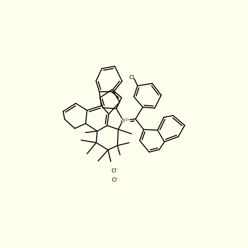 CC12C(=C3Cc4ccccc4C3=C3C=CCCC31)[C](C)([Zr+2](=[C](c1cccc(Cl)c1)c1cccc3ccccc13)[CH]1C=CC=C1)C(C)(C)C(C)(C)C2(C)C.[Cl-].[Cl-]